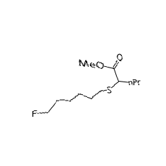 CCCC(SCCCCCCF)C(=O)OC